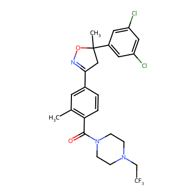 Cc1cc(C2=NOC(C)(c3cc(Cl)cc(Cl)c3)C2)ccc1C(=O)N1CCN(CC(F)(F)F)CC1